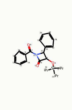 CC(C)[Si](OC1C(=O)N(C(=O)c2ccccc2)C1c1ccccc1)(C(C)C)C(C)C